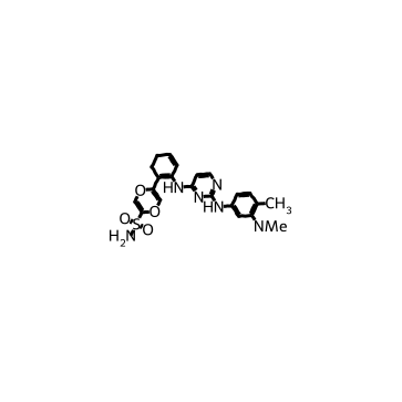 CNc1cc(Nc2nccc(NC3=C(C4=COC(S(N)(=O)=O)=CO4)CCC=C3)n2)ccc1C